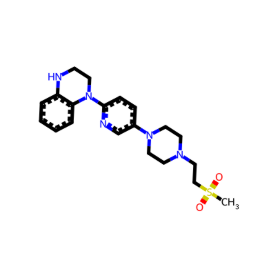 CS(=O)(=O)CCN1CCN(c2ccc(N3CCNc4ccccc43)nc2)CC1